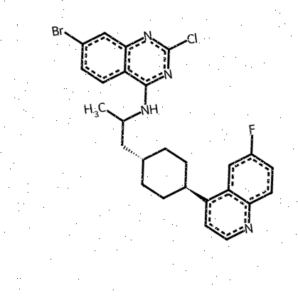 CC(C[C@H]1CC[C@H](c2ccnc3ccc(F)cc32)CC1)Nc1nc(Cl)nc2cc(Br)ccc12